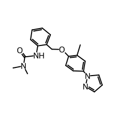 Cc1cc(-n2cccn2)ccc1OCc1ccccc1NC(=O)N(C)C